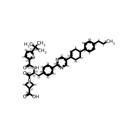 CCCc1ccc(C2CC=C(c3cnc(-c4ccc(C[C@H](NC(=O)c5ccc(C(C)(C)C)s5)C(=O)N5CC(C(=O)O)C5)cc4)nc3)CC2)cc1